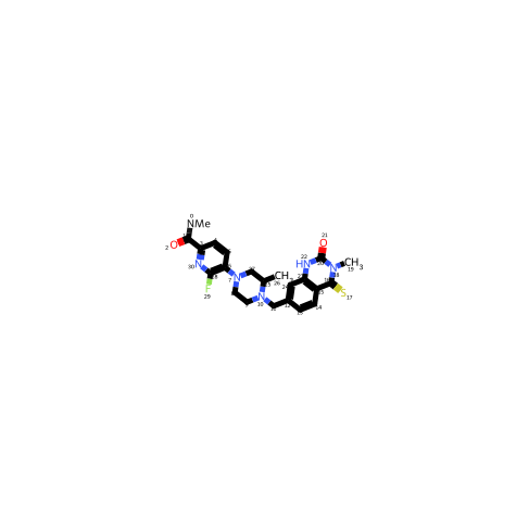 CNC(=O)c1ccc(N2CCN(Cc3ccc4c(=S)n(C)c(=O)[nH]c4c3)C(C)C2)c(F)n1